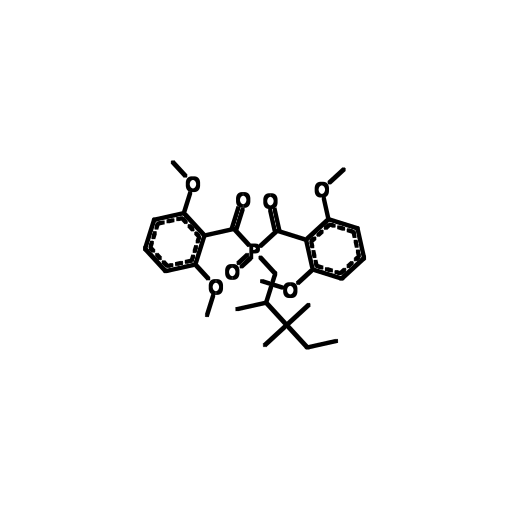 CCC(C)(C)C(C)CP(=O)(C(=O)c1c(OC)cccc1OC)C(=O)c1c(OC)cccc1OC